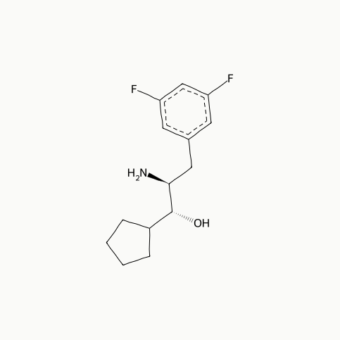 N[C@@H](Cc1cc(F)cc(F)c1)[C@H](O)C1CCCC1